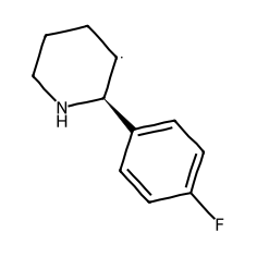 Fc1ccc([C@@H]2[CH]CCCN2)cc1